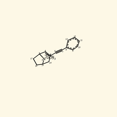 C[N+]1(C)C2C=C(C#Cc3ccccc3)CC1CC2